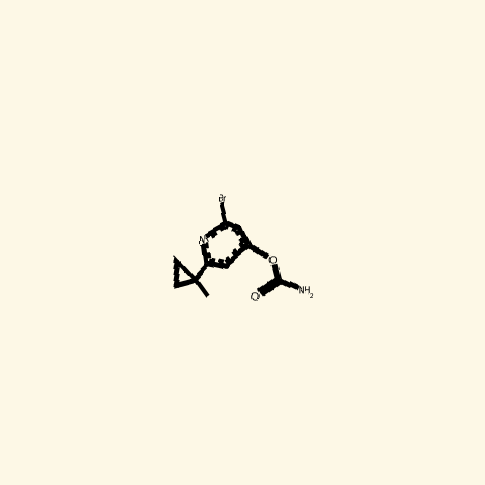 CC1(c2cc(OC(N)=O)cc(Br)n2)CC1